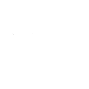 CCNS(=O)(=O)C(C)(C)c1ccc(-c2ccc(C=O)cc2)cc1